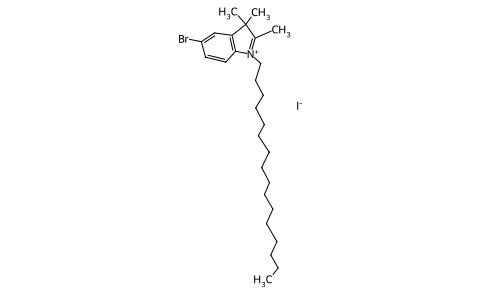 CCCCCCCCCCCCCCCC[N+]1=C(C)C(C)(C)c2cc(Br)ccc21.[I-]